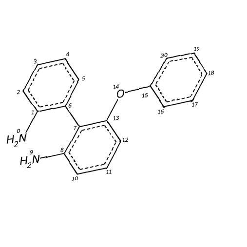 Nc1ccccc1-c1c(N)cccc1Oc1ccccc1